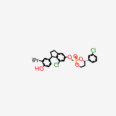 CC(C)c1cc(C2CCc3cc(OC[P@@]4(=O)OCC[C@@H](c5cccc(Cl)c5)O4)cc(Cl)c32)ccc1O